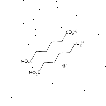 N.O=C(O)CCCCC(=O)O.O=C(O)CCCCC(=O)O